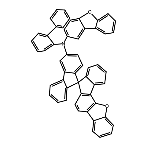 c1ccc(-c2ccccc2N(c2ccc3c(c2)-c2ccccc2C32c3ccccc3-c3c2ccc2c3oc3ccccc32)c2ccc3oc4ccccc4c3c2)cc1